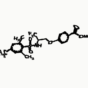 COC(=O)c1ccc(OCC(NS(=O)(=O)c2c(C)cc(C)cc2C)C(F)(F)F)cc1